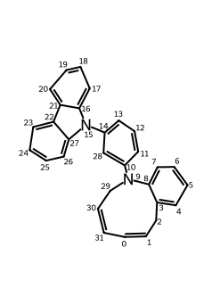 C1=C\Cc2ccccc2N(c2cccc(-n3c4ccccc4c4ccccc43)c2)C\C=C/1